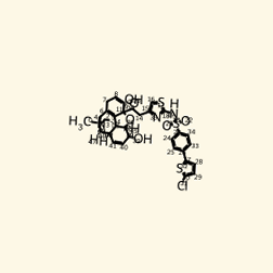 CN1CC[C@]23C4=C5CC=C(O)C4(C(=O)Cc4csc(NS(=O)(=O)c6ccc(-c7ccc(Cl)s7)cc6)n4)O[C@H]2[C@@H](O)C=C[C@H]3[C@H]1C5